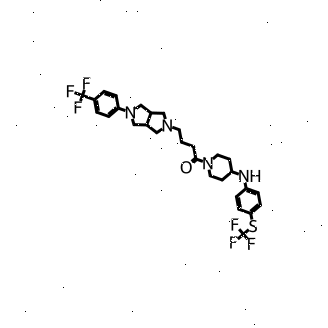 O=C(CCCN1CC2CN(c3ccc(C(F)(F)F)cc3)CC2C1)N1CCC(Nc2ccc(SC(F)(F)F)cc2)CC1